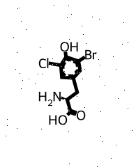 N[C@@H](Cc1cc(Cl)c(O)c(Br)c1)C(=O)O